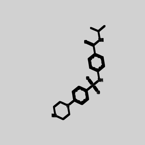 CC(C)NC(=O)c1ccc(NS(=O)(=O)c2ccc(N3CCNCC3)cc2)cc1